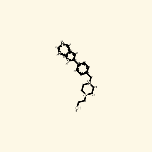 OCCN1CCN(Cc2ccc(-c3cc4[c]ncnc4s3)cc2)CC1